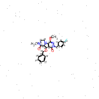 COc1nn(Cc2ccc(F)cc2)c(=O)c2c(OCc3ccccc3)c3n(c12)CCN(C)C3=O